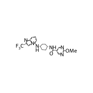 COc1ncc(C(=O)N[C@H]2CC[C@@H](Nc3cccc4nc(C(F)(F)F)cn34)CC2)cn1